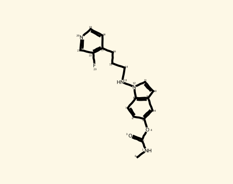 CNC(=O)Oc1ccc2c(ccn2NCCCc2ccncc2F)c1